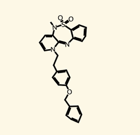 CN1C2=CC=CN(CCc3ccc(OCc4ccccc4)cc3)C2=Nc2ccccc2S1(=O)=O